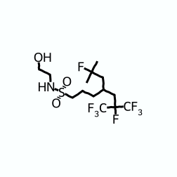 CC(C)(F)CC(CCCS(=O)(=O)NCCO)CC(F)(C(F)(F)F)C(F)(F)F